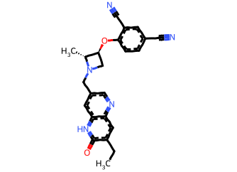 CCc1cc2ncc(CN3C[C@H](Oc4ccc(C#N)cc4C#N)[C@H]3C)cc2[nH]c1=O